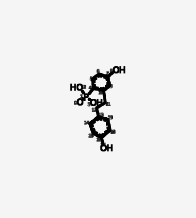 O=P(O)(O)c1ccc(O)cc1CCc1ccc(O)cc1